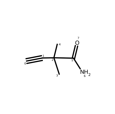 C#CC(C)(C)C(N)=O